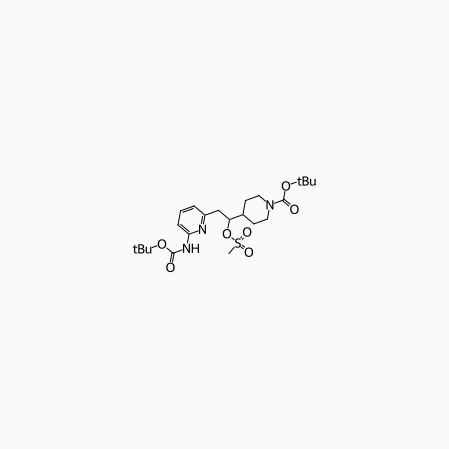 CC(C)(C)OC(=O)Nc1cccc(CC(OS(C)(=O)=O)C2CCN(C(=O)OC(C)(C)C)CC2)n1